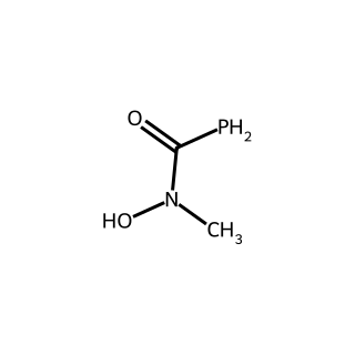 CN(O)C(=O)P